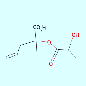 C=CCC(C)(OC(=O)C(C)O)C(=O)O